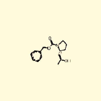 CC(O)=C[C@H]1CCCN1C(=O)OCc1ccccc1